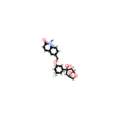 Cn1c(=O)ccc2cc(COc3cc(F)cc(C4(O)CC5COC(C4)O5)c3)ccc21